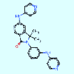 CC1(C)c2cc(Nc3ccncc3)ccc2C(=O)N1c1cccc(Nc2ccncc2)c1